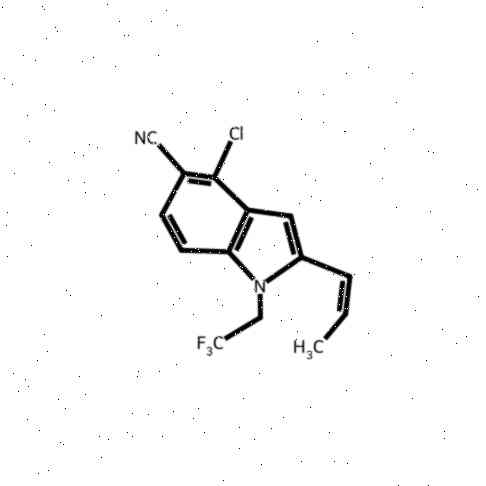 C/C=C\c1cc2c(Cl)c(C#N)ccc2n1CC(F)(F)F